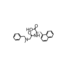 CN(CC(=O)N[C@@H](Cc1cccc2ccccc12)C(=O)O)Cc1ccccc1